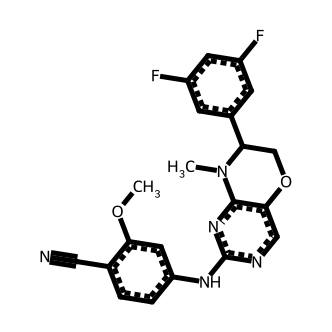 COc1cc(Nc2ncc3c(n2)N(C)C(c2cc(F)cc(F)c2)CO3)ccc1C#N